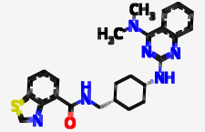 CN(C)c1nc(N[C@H]2CC[C@@H](CNC(=O)c3cccc4scnc34)CC2)nc2ccccc12